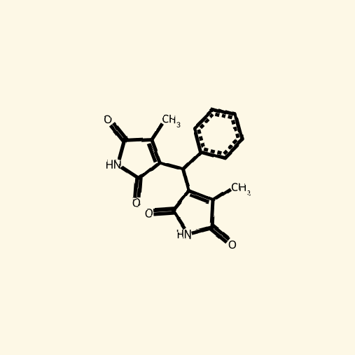 CC1=C(C(C2=C(C)C(=O)NC2=O)c2ccccc2)C(=O)NC1=O